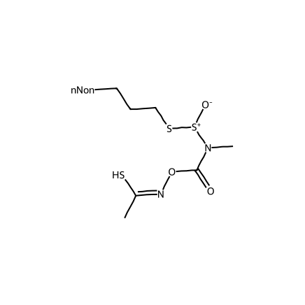 CCCCCCCCCCCCS[S+]([O-])N(C)C(=O)ON=C(C)S